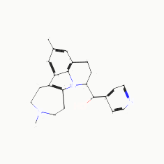 Cc1cc2c3c(c1)c1c(n3C(C(O)c3ccncc3)CC2)CCN(C)CC1